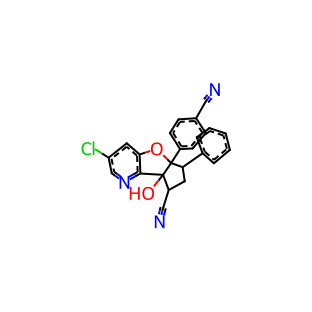 N#Cc1ccc(C23Oc4cc(Cl)cnc4C2(O)C(C#N)CC3c2ccccc2)cc1